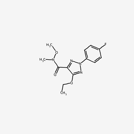 CCOc1nn(-c2ccc(F)cc2)nc1C(=O)N(C)OC